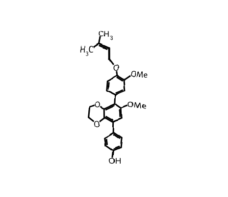 COc1cc(-c2c(OC)cc(-c3ccc(O)cc3)c3c2OCCO3)ccc1OCC=C(C)C